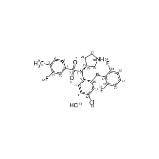 Cc1ccc(S(=O)(=O)N(c2ccc(Cl)cc2Cc2c(F)cccc2F)[C@H]2CCNC2)cc1F.Cl